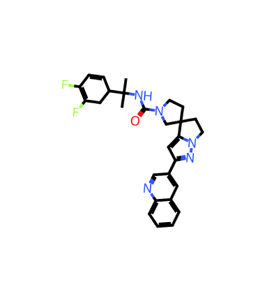 CC(C)(NC(=O)N1CCC2(CCn3nc(-c4cnc5ccccc5c4)cc32)C1)C1C=CC(F)=C(F)C1